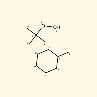 CC(C)(C)OO.CC1CCCCC1